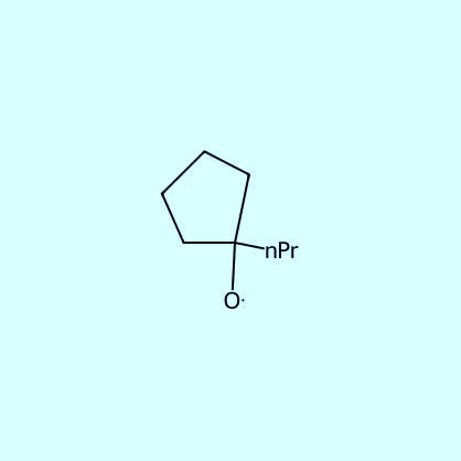 CCCC1([O])CCCC1